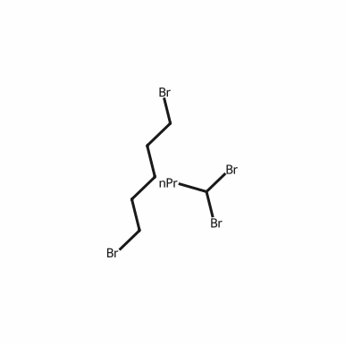 BrCCCCCBr.CCCC(Br)Br